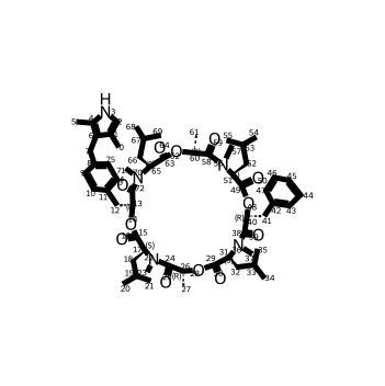 Cc1c[nH]c(C)c1Cc1ccc(C[C@H]2OC(=O)[C@H](CC(C)C)N(C)C(=O)[C@@H](C)OC(=O)[C@H](CC(C)C)N(C)C(=O)[C@@H](Cc3ccccc3)OC(=O)[C@H](CC(C)C)N(C)C(=O)[C@@H](C)OC(=O)[C@H](CC(C)C)N(C)C2=O)cc1